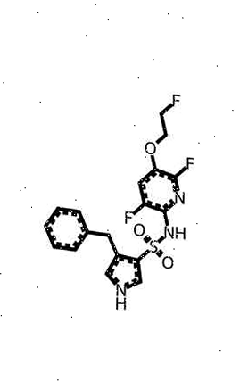 O=S(=O)(Nc1nc(F)c(OCCF)cc1F)c1c[nH]cc1Cc1ccccc1